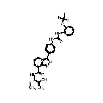 C=C(O)[C@H](CC)NC(=O)c1cccn2c(-c3ccc(NC(=O)Nc4ccccc4OC(F)(F)F)cc3)nnc12